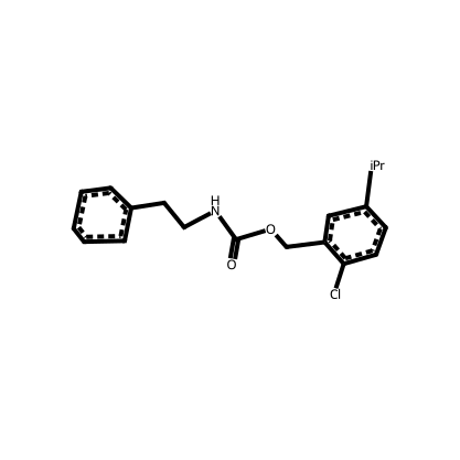 CC(C)c1ccc(Cl)c(COC(=O)NCCc2ccccc2)c1